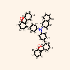 c1ccc2cc(N(c3ccc(-c4cccc5c4oc4ccccc45)cc3)c3ccc(-c4cccc5oc6ccccc6c45)cc3)ccc2c1